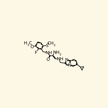 COc1ccc(SC)c(CNC(=O)/C(N)=C/NCc2cn3cc(C4CC4)ccc3n2)c1F